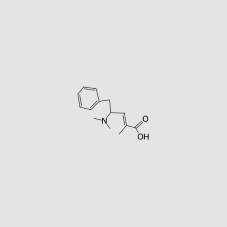 CC(=CC(Cc1ccccc1)N(C)C)C(=O)O